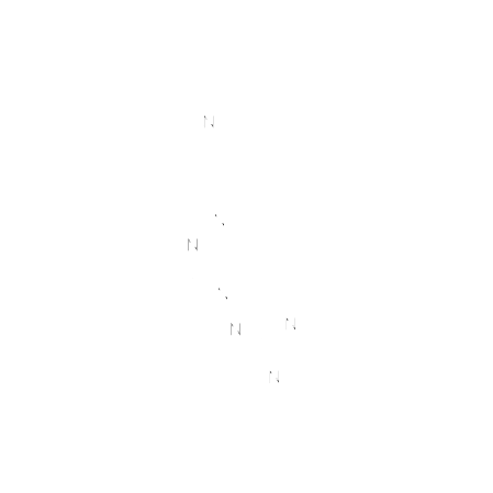 CCC(N=Nc1n(C)cc[n+]1C)=NN=c1ccn(C)cc1